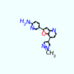 Cn1cc(-c2ccnc3cc(-c4ccc(N)nc4)oc23)cn1